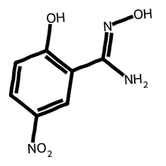 NC(=NO)c1cc([N+](=O)[O-])ccc1O